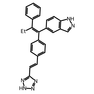 CCC(=C(c1ccc(C=Cc2nn[nH]n2)cc1)c1ccc2[nH]ncc2c1)c1ccccc1